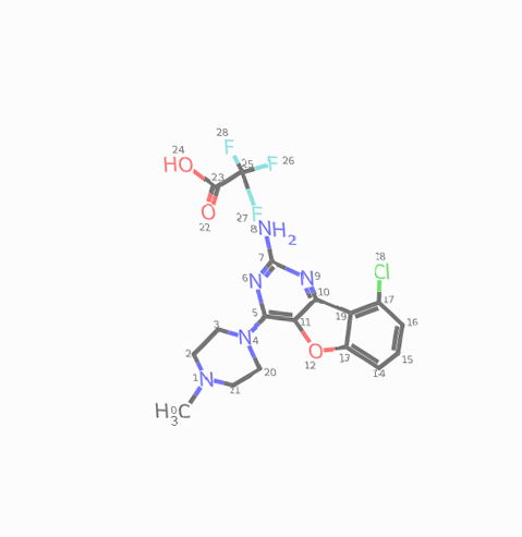 CN1CCN(c2nc(N)nc3c2oc2cccc(Cl)c23)CC1.O=C(O)C(F)(F)F